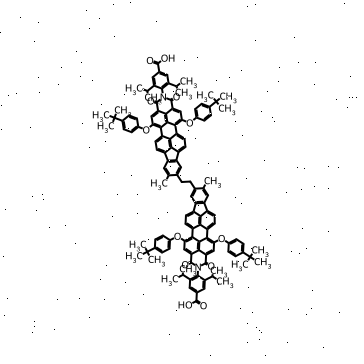 Cc1cc2c(cc1CCc1cc3c(cc1C)-c1ccc4c5c(Oc6ccc(C(C)(C)C)cc6)cc6c7c(cc(Oc8ccc(C(C)(C)C)cc8)c(c8ccc-3c1c48)c75)C(=O)N(c1c(C(C)C)cc(C(=O)O)cc1C(C)C)C6=O)-c1ccc3c4c(Oc5ccc(C(C)(C)C)cc5)cc5c6c(cc(Oc7ccc(C(C)(C)C)cc7)c(c7ccc-2c1c73)c64)C(=O)N(c1c(C(C)C)cc(C(=O)O)cc1C(C)C)C5=O